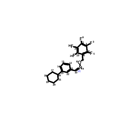 Fc1c(F)c(F)c(CO/N=[C]\c2cccc(C3CCCCC3)c2)c(F)c1F